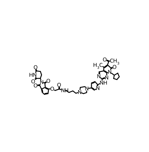 CC(=O)c1c(C)c2cnc(Nc3ccc(N4CCN(CCCCNC(=O)COc5cccc6c5C(=O)N(C5CCC(=O)NC5=O)C6=O)CC4)cn3)nc2n(C2CCCC2)c1=O